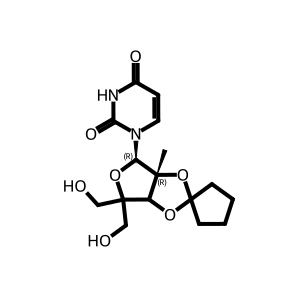 C[C@@]12OC3(CCCC3)OC1C(CO)(CO)O[C@H]2n1ccc(=O)[nH]c1=O